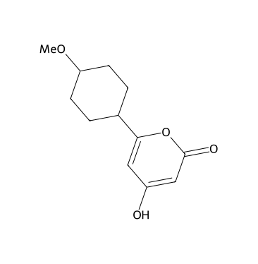 COC1CCC(c2cc(O)cc(=O)o2)CC1